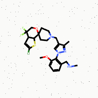 CNCc1cccc(OC)c1-n1cc(CN2CCC3(CC2)OCC(F)(F)C2C=C(Cl)SC23)c(C)n1